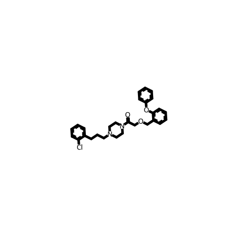 O=C(COCc1ccccc1Oc1ccccc1)N1CCN(CCCc2ccccc2Cl)CC1